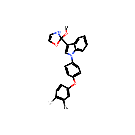 CCOC1(c2cn(-c3ccc(Oc4ccc(C(F)(F)F)c(C#N)c4)cc3)c3ccccc23)NC=CO1